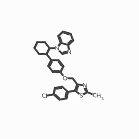 Cc1nc(COc2ccc(C3CCCCC3n3cnc4ccccc43)cc2)c(-c2ccc(Cl)cc2)s1